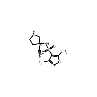 Cc1noc(C)c1S(=O)(=O)N[C@]1(C#N)CCNC1